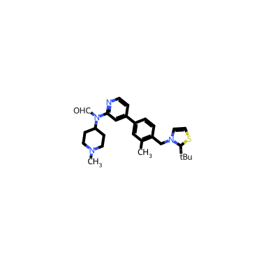 Cc1cc(-c2ccnc(N(C=O)C3CCN(C)CC3)c2)ccc1CN1C=CSC1C(C)(C)C